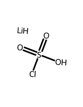 O=S(=O)(O)Cl.[LiH]